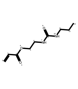 C=CC(=O)OCCNC(=O)NCCC